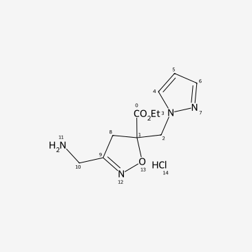 CCOC(=O)C1(Cn2cccn2)CC(CN)=NO1.Cl